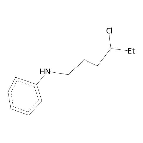 CCC(Cl)CCCNc1ccccc1